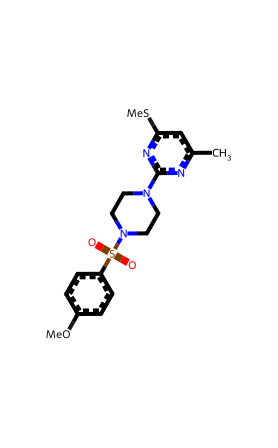 COc1ccc(S(=O)(=O)N2CCN(c3nc(C)cc(SC)n3)CC2)cc1